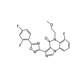 COCCn1c(=O)c2c(-c3noc(-c4ccc(F)cc4F)n3)ncn2c2cccc(F)c21